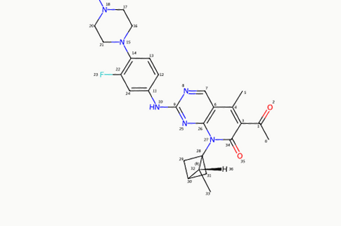 CC(=O)c1c(C)c2cnc(Nc3ccc(N4CCN(C)CC4)c(F)c3)nc2n(C23CC(C2)[C@H]3C)c1=O